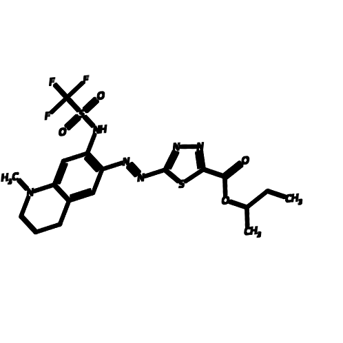 CCC(C)OC(=O)c1nnc(N=Nc2cc3c(cc2NS(=O)(=O)C(F)(F)F)N(C)CCC3)s1